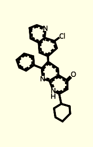 O=c1cc(C2CCCCC2)[nH]c2nc(-c3ccccc3)c(-c3cc(Cl)c4ncccc4c3)cc12